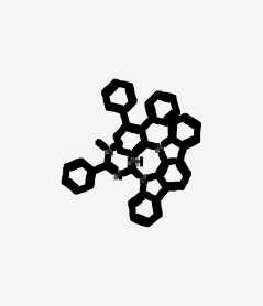 CN(C)/C(=N\C(=N)n1c2ccccc2c2ccc3c4ccccc4n(C4=CCCC(c5ccccc5)=C4c4ccccc4)c3c21)c1ccccc1